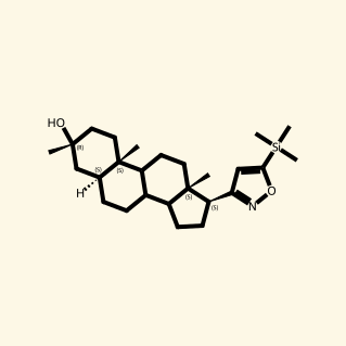 C[C@@]1(O)CC[C@]2(C)C3CC[C@@]4(C)C(CC[C@@H]4c4cc([Si](C)(C)C)on4)C3CC[C@H]2C1